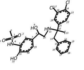 CS(=O)(=O)Nc1cc(C(O)CNC(I)(Cc2ccccc2)c2ccc(Cl)c(Cl)c2)ccc1O